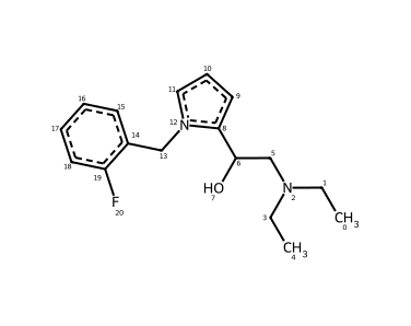 CCN(CC)CC(O)c1cccn1Cc1ccccc1F